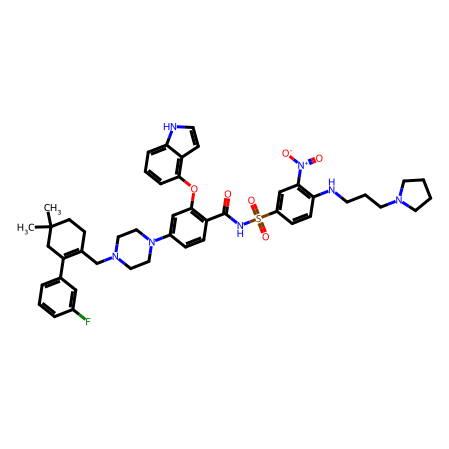 CC1(C)CCC(CN2CCN(c3ccc(C(=O)NS(=O)(=O)c4ccc(NCCCN5CCCC5)c([N+](=O)[O-])c4)c(Oc4cccc5[nH]ccc45)c3)CC2)=C(c2cccc(F)c2)C1